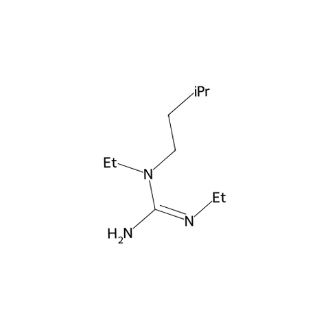 CCN=C(N)N(CC)CCC(C)C